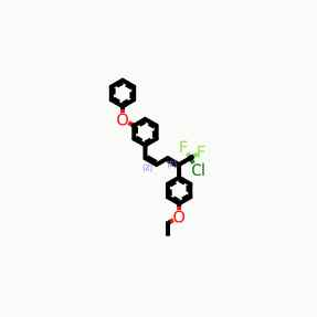 CCOc1ccc(/C(=C\C=C/c2cccc(Oc3ccccc3)c2)C(F)(F)Cl)cc1